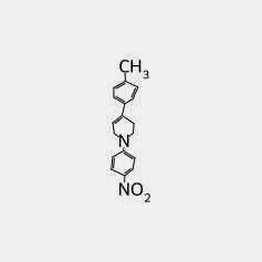 Cc1ccc(C2=CCN(c3ccc([N+](=O)[O-])cc3)CC2)cc1